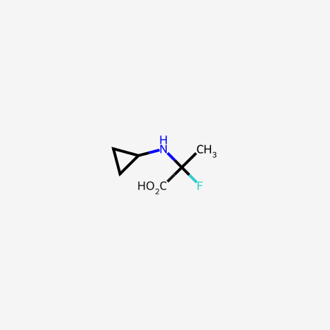 CC(F)(NC1CC1)C(=O)O